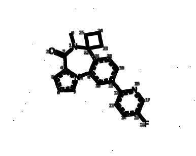 CN1C(=O)c2cccn2-c2cc(-c3ccc(F)cn3)ccc2C12CCC2